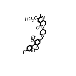 CCOc1cc(CN2CCC(N3CCc4nc(C)c(C(=O)O)cc4C3=O)CC2)cc(OCC)c1-c1ccc(F)cc1